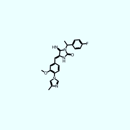 COc1cc(/C=C2\NC(=O)N(C(C)c3ccc(F)cc3)C2=N)ccc1-n1cnc(C)c1